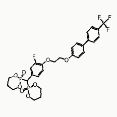 O=P1(C(c2ccc(OCCOc3ccc(-c4ccc(C(F)(F)F)cc4)cc3)c(F)c2)P2(=O)OCCCO2)OCCCO1